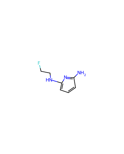 Nc1cccc(NCCF)n1